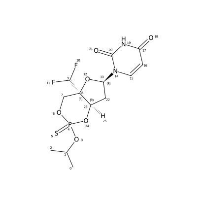 CC(C)OP1(=S)OC[C@@]2(C(F)F)O[C@@H](n3ccc(=O)[nH]c3=O)C[C@H]2O1